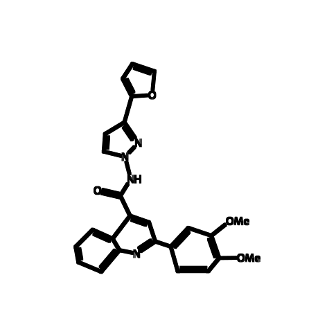 COc1ccc(-c2cc(C(=O)Nn3ccc(-c4ccco4)n3)c3ccccc3n2)cc1OC